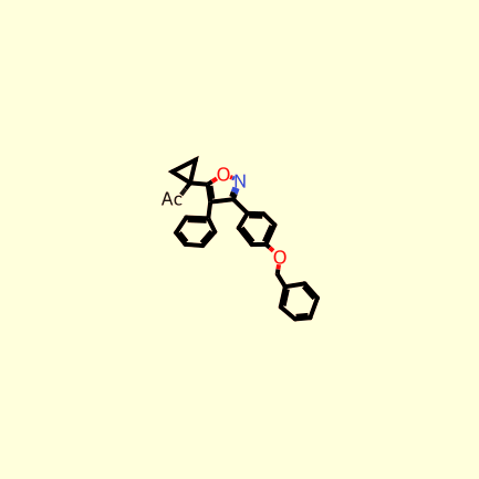 CC(=O)C1(c2onc(-c3ccc(OCc4ccccc4)cc3)c2-c2ccccc2)CC1